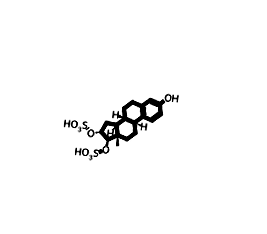 C[C@]12CC[C@@H]3c4ccc(O)cc4CC[C@H]3[C@@H]1C[C@@H](OS(=O)(=O)O)[C@@H]2OS(=O)(=O)O